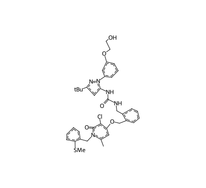 CSc1ccccc1Cn1c(C)cc(OCc2ccccc2CNC(=O)Nc2cc(C(C)(C)C)nn2-c2cccc(OCCO)c2)c(Cl)c1=O